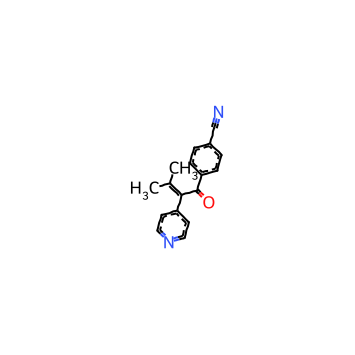 CC(C)=C(C(=O)c1ccc(C#N)cc1)c1ccncc1